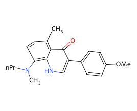 CCCN(C)c1ccc(C)c2c(=O)c(-c3ccc(OC)cc3)c[nH]c12